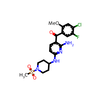 COc1cc(Cl)c(F)cc1C(=O)c1ccc(NC2CCN(S(C)(=O)=O)CC2)nc1N